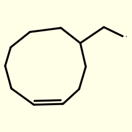 [CH2]CC1CC/C=C\CCCCC1